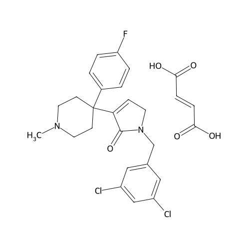 CN1CCC(C2=CCN(Cc3cc(Cl)cc(Cl)c3)C2=O)(c2ccc(F)cc2)CC1.O=C(O)C=CC(=O)O